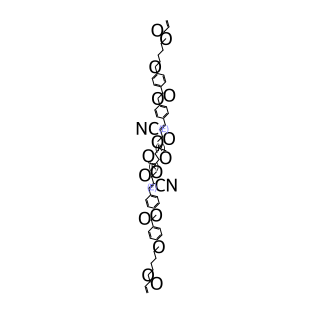 C=CC(=O)OCCCCOc1ccc(C(=O)Oc2ccc(/C=C(\C#N)C(=O)O[C@@H]3COC4C3OC[C@H]4OC(=O)/C(C#N)=C/c3ccc(OC(=O)c4ccc(OCCCCOC(=O)C=C)cc4)cc3)cc2)cc1